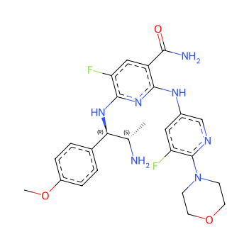 COc1ccc([C@@H](Nc2nc(Nc3cnc(N4CCOCC4)c(F)c3)c(C(N)=O)cc2F)[C@H](C)N)cc1